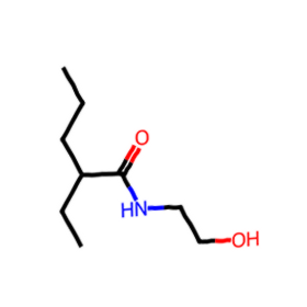 CCCC(CC)C(=O)NCCO